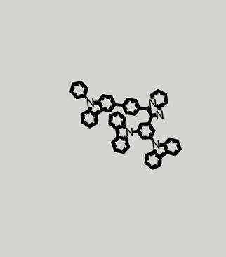 c1ccc(-n2c3ccccc3c3cc(-c4ccc(-c5c(-c6cc(-n7c8ccccc8c8ccccc87)cc(-n7c8ccccc8c8ccccc87)c6)nc6ccccn56)cc4)ccc32)cc1